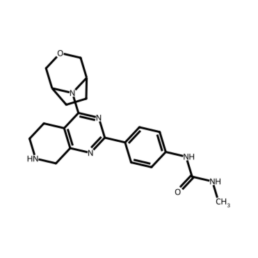 CNC(=O)Nc1ccc(-c2nc3c(c(N4C5CCC4COC5)n2)CCNC3)cc1